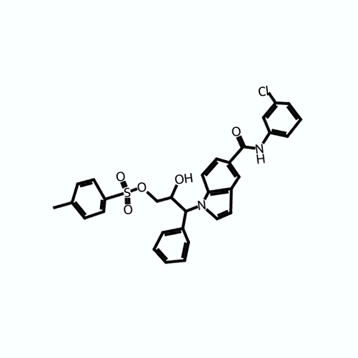 Cc1ccc(S(=O)(=O)OCC(O)C(c2ccccc2)n2ccc3cc(C(=O)Nc4cccc(Cl)c4)ccc32)cc1